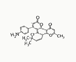 Cc1cc(=O)c2c(o1)c1c(c3c(-c4ccc(N)cc4)[c]c(=O)oc32)OC(C)(C)C=C1